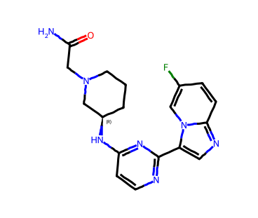 NC(=O)CN1CCC[C@@H](Nc2ccnc(-c3cnc4ccc(F)cn34)n2)C1